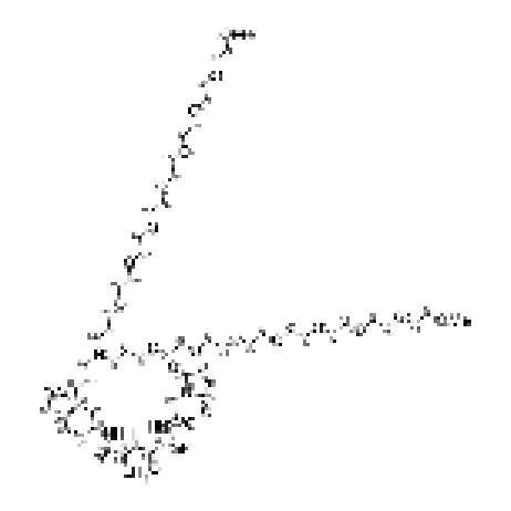 COCCOCCOCCOCCOCCOCCOCCOCCCN(CCCOCCOCCOCCOCCOCCOCCOCCOC)CCCc1cc(NC(=O)[C@H](C)NC(=O)[C@@H](NC(=O)CN2C(=O)C=CC2=O)C(C)C)ccc1COC(C)=O